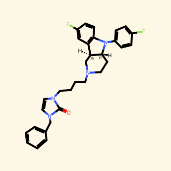 O=c1n(CCCCN2CC[C@@H]3[C@@H](C2)c2cc(F)ccc2N3c2ccc(F)cc2)ccn1Cc1ccccc1